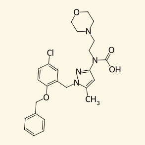 Cc1cc(N(CCN2CCOCC2)C(=O)O)nn1Cc1cc(Cl)ccc1OCc1ccccc1